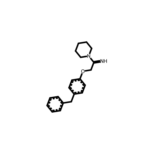 N=C(COc1ccc(Cc2ccccc2)cc1)N1CCCCC1